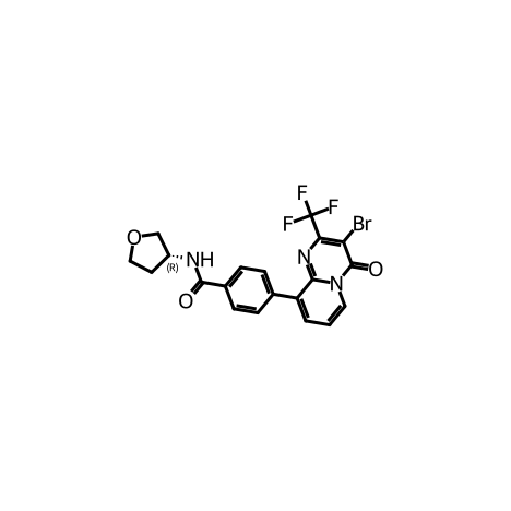 O=C(N[C@@H]1CCOC1)c1ccc(-c2cccn3c(=O)c(Br)c(C(F)(F)F)nc23)cc1